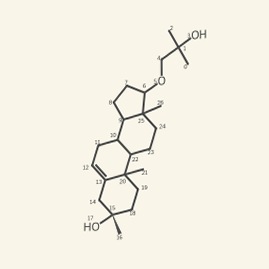 CC(C)(O)COC1CCC2C3CC=C4C[C@@](C)(O)CCC4(C)C3CCC12C